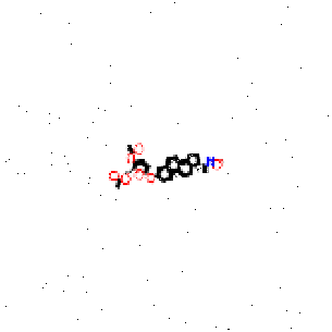 CO/N=C(\C)[C@H]1CCC2C3CC=C4C[C@@H](OC5C=C[C@H](OC(C)=O)[C@@H](COC(C)=O)O5)CC[C@]4(C)C3CC[C@@]21C